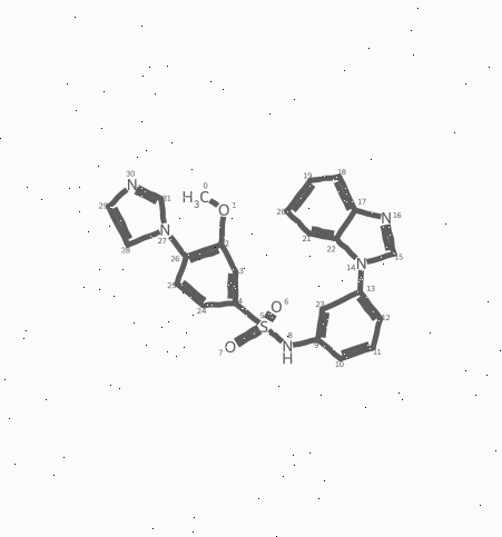 COc1cc(S(=O)(=O)Nc2cccc(-n3cnc4ccccc43)c2)ccc1-n1ccnc1